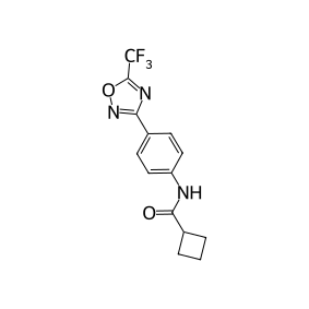 O=C(Nc1ccc(-c2noc(C(F)(F)F)n2)cc1)C1CCC1